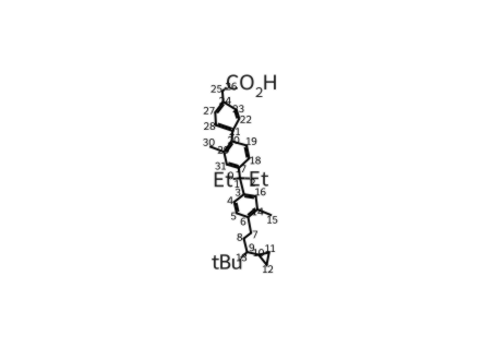 CCC(CC)(c1ccc(CCC(C2CC2)C(C)(C)C)c(C)c1)c1ccc(-c2ccc(CC(=O)O)cc2)c(C)c1